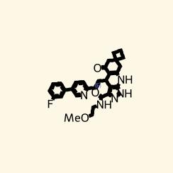 COCCNC(=O)c1n[nH]c2c1C(/C=C/c1ccc(-c3cccc(F)c3)cn1)C1=C(CC3(CCC3)CC1=O)N2